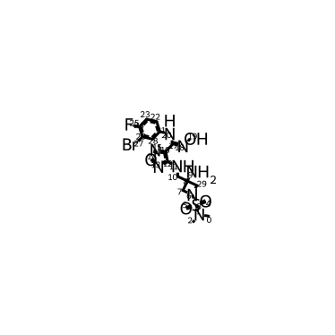 CN(C)S(=O)(=O)N1CC(N)(CNc2nonc2/C(=N/O)Nc2ccc(F)c(Br)c2)C1